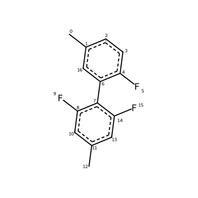 Cc1[c]cc(F)c(-c2c(F)cc(C)cc2F)c1